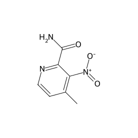 Cc1ccnc(C(N)=O)c1[N+](=O)[O-]